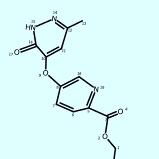 CCOC(=O)c1ccc(Oc2cc(C)n[nH]c2=O)cn1